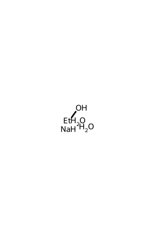 CCO.O.O.[NaH]